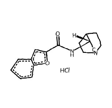 Cl.O=C(N[C@H]1CN2CCC1CC2)c1cc2ccccc2o1